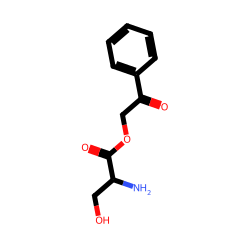 NC(CO)C(=O)OCC(=O)c1ccccc1